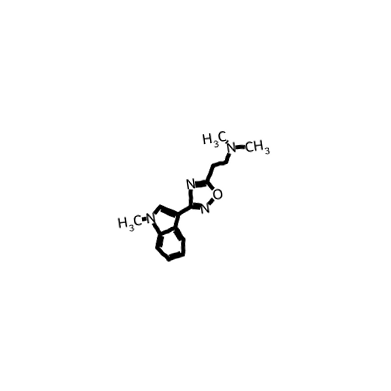 CN(C)CCc1nc(-c2cn(C)c3ccccc23)no1